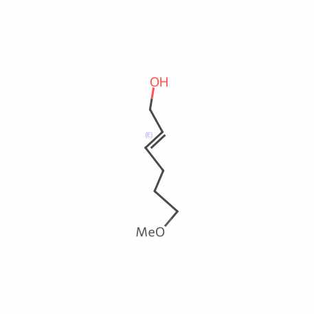 COCCC/C=C/CO